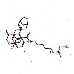 CC(C)(C)OC(=O)NCCCCCNC(=O)c1cc(Cl)ccc1C1=CC2CCC(C1)N2CCN1C(=O)COc2ccccc21